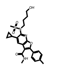 CNC(=O)c1c(-c2ccc(C)cc2)oc2nc(N(CCCCO)S(C)(=O)=O)c(C3CC3)cc12